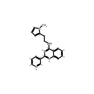 Cn1cccc1CCNc1nc(-c2cccnc2)nc2ccccc12